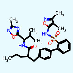 CCCC(Cc1ccc(-c2ccccc2S(=O)(=O)Nc2onc(C)c2C)cc1)C(=O)NC(c1nc(C)no1)C(C)C